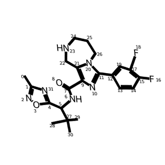 Cc1noc(C(NC(=O)c2nc(-c3ccc(F)c(F)c3)n3c2CNCCC3)C(C)(C)C)n1